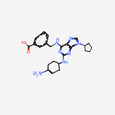 NC1CCC(Nc2nc(NCc3cccc(C(=O)O)c3)c3ncn(C4CCCC4)c3n2)CC1